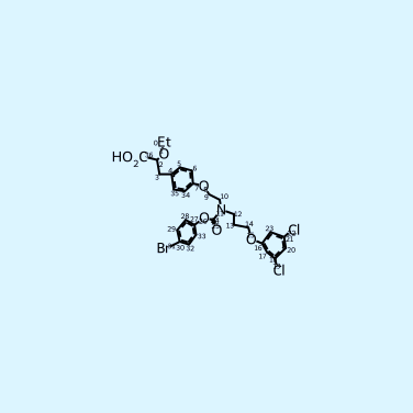 CCOC(Cc1ccc(OCCN(CCCOc2cc(Cl)cc(Cl)c2)C(=O)Oc2ccc(Br)cc2)cc1)C(=O)O